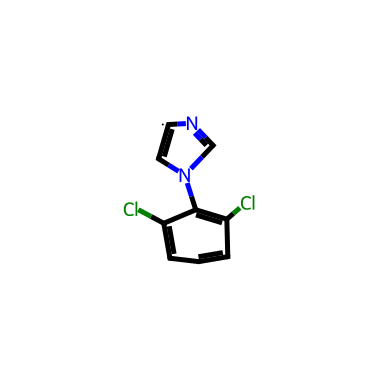 Clc1cccc(Cl)c1-n1c[c]nc1